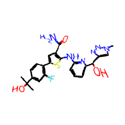 Cn1cc(C(O)c2cccc(Nc3sc(-c4ccc(C(C)(C)O)cc4F)cc3C(N)=O)n2)nn1